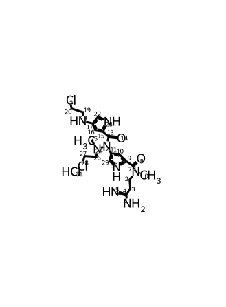 CN(CCC(=N)N)C(=O)c1cc(N(C(=O)c2cc(NCCCl)c[nH]2)N(C)CCCl)c[nH]1.Cl